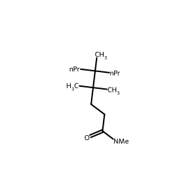 CCCC(C)(CCC)C(C)(C)CCC(=O)NC